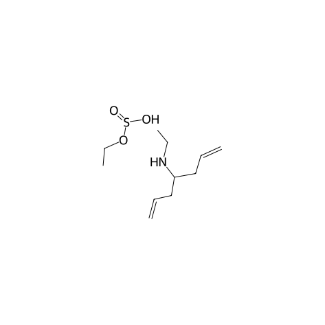 C=CCC(CC=C)NCC.CCOS(=O)O